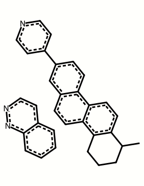 CC1CCCc2c1ccc1c2ccc2cc(-c3ccncc3)ccc21.c1ccc2nnccc2c1